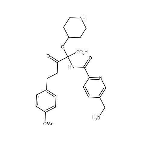 COc1ccc(CCC(=O)C(NC(=O)c2ccc(CN)cn2)(OC2CCNCC2)C(=O)O)cc1